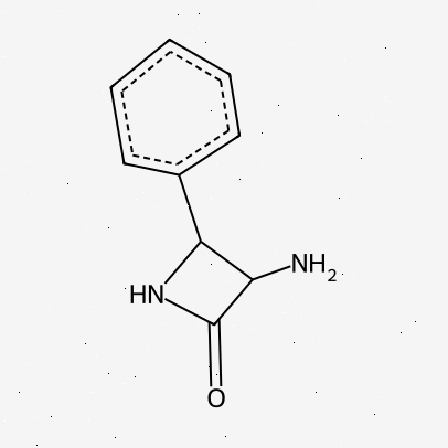 NC1C(=O)NC1c1ccccc1